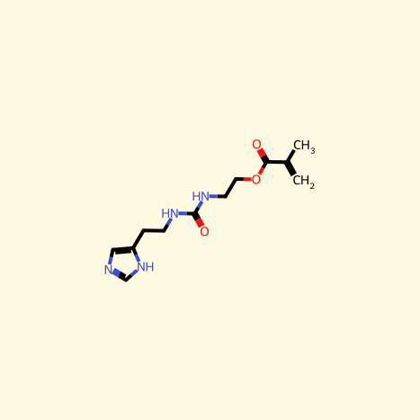 C=C(C)C(=O)OCCNC(=O)NCCc1cnc[nH]1